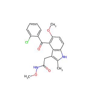 CONC(=O)Cc1c(C)[nH]c2ccc(OC)c(C(=O)c3ccccc3Cl)c12